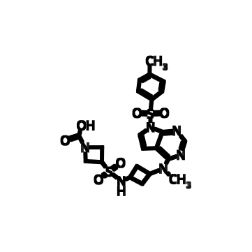 Cc1ccc(S(=O)(=O)n2ccc3c(N(C)C4CC(NS(=O)(=O)C5CN(C(=O)O)C5)C4)ncnc32)cc1